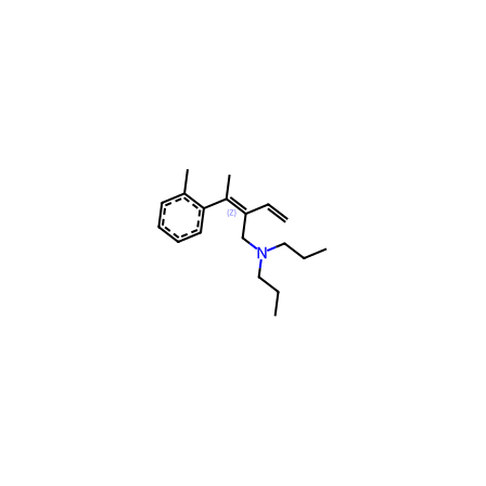 C=C/C(CN(CCC)CCC)=C(\C)c1ccccc1C